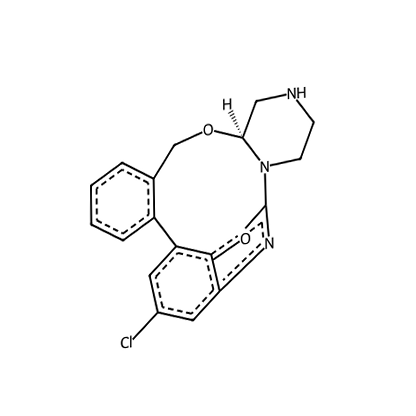 Clc1cc2c3oc(nc3c1)N1CCNC[C@@H]1OCc1ccccc1-2